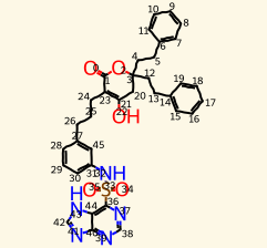 O=C1OC(CCc2ccccc2)(CCc2ccccc2)CC(O)=C1CCCc1cccc(NS(=O)(=O)c2ncnc3nc[nH]c23)c1